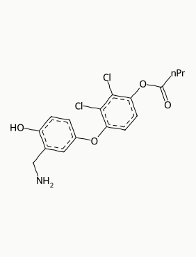 CCCC(=O)Oc1ccc(Oc2ccc(O)c(CN)c2)c(Cl)c1Cl